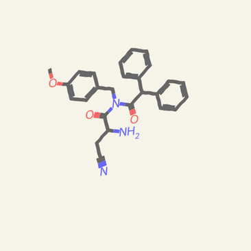 COc1ccc(CN(C(=O)C(N)CC#N)C(=O)C(c2ccccc2)c2ccccc2)cc1